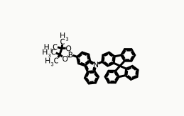 CC1(C)OB(c2ccc3c(c2)c2ccccc2n3-c2ccc3c(c2)C2(c4ccccc4-c4ccccc42)c2ccccc2-3)OC1(C)C